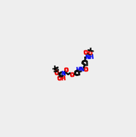 CC(C)(C)OC(=O)NCc1ccc(C(=O)NCc2ccc(OCCC(=O)N3C[C@@H](O)[C@H](O[Si](C)(C)C(C)(C)C)C3)cc2)cc1